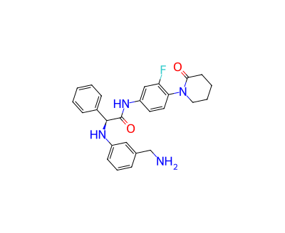 NCc1cccc(N[C@H](C(=O)Nc2ccc(N3CCCCC3=O)c(F)c2)c2ccccc2)c1